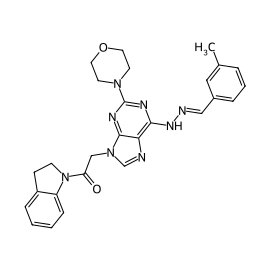 Cc1cccc(/C=N/Nc2nc(N3CCOCC3)nc3c2ncn3CC(=O)N2CCc3ccccc32)c1